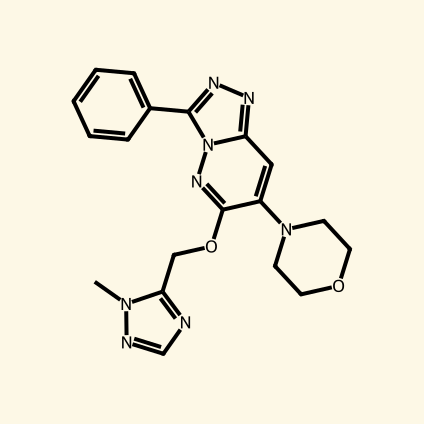 Cn1ncnc1COc1nn2c(-c3ccccc3)nnc2cc1N1CCOCC1